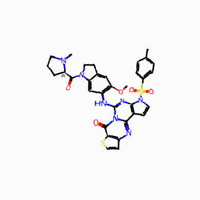 COc1cc2c(cc1Nc1nc3c(ccn3S(=O)(=O)c3ccc(C)cc3)c3nc4ccsc4c(=O)n13)N(C(=O)[C@H]1CCCN1C)CC2